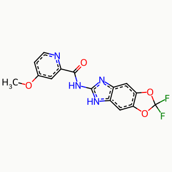 COc1ccnc(C(=O)Nc2nc3cc4c(cc3[nH]2)OC(F)(F)O4)c1